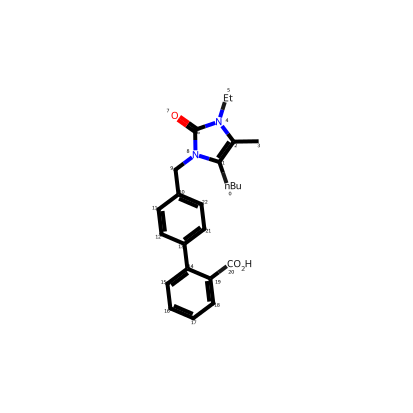 CCCCc1c(C)n(CC)c(=O)n1Cc1ccc(-c2ccccc2C(=O)O)cc1